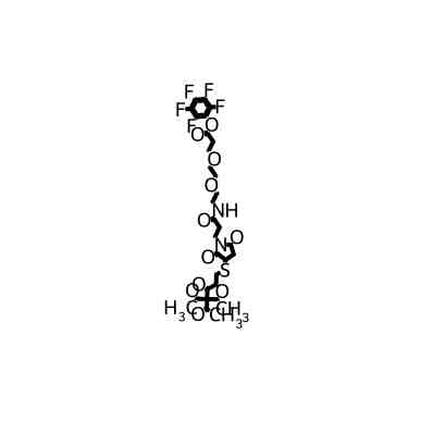 CC(=O)C(C(C)=O)(C(C)=O)C(=O)CCSC1CC(=O)N(CCC(=O)NCCOCCOCCC(=O)Oc2c(F)c(F)c(F)c(F)c2F)C1=O